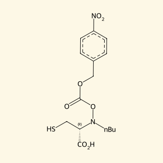 CCCCN(OC(=O)OCc1ccc([N+](=O)[O-])cc1)[C@@H](CS)C(=O)O